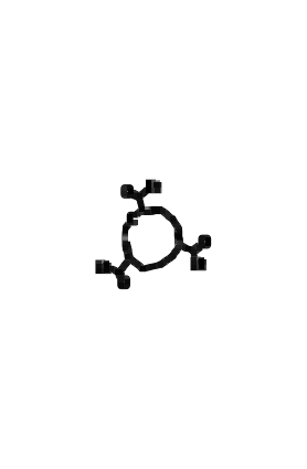 CCC(=O)C1=CCC=C(C(=O)CC)CCCC(C(=O)CC)=CCC1